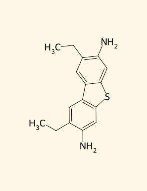 CCc1cc2c(cc1N)sc1cc(N)c(CC)cc12